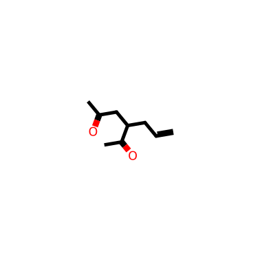 C=CCC(CC(C)=O)C(C)=O